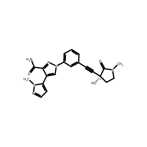 CN1CC[C@@](O)(C#Cc2cccc(-n3cc(-c4ccnn4C)c(C(N)=O)n3)c2)C1=O